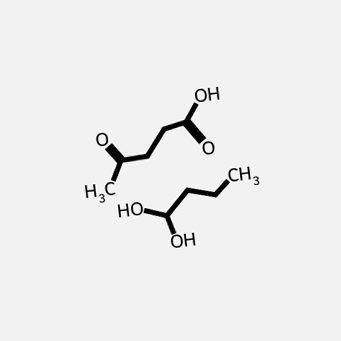 CC(=O)CCC(=O)O.CCCC(O)O